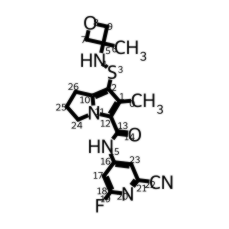 Cc1c(SNC2(C)COC2)c2n(c1C(=O)Nc1cc(F)nc(C#N)c1)CCC2